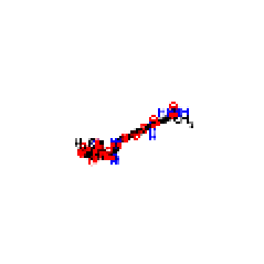 C[C@H]1NC(=O)N[C@H]1CCCCCC(=O)NCCOCCOCCOCCn1cc(CCC2(CC(=O)O[C@H]3C=C4CCN(C)[C@H]4[C@@H]4c5cc6c(cc5C(=O)O[C@@H]43)OCO6)N=N2)nn1